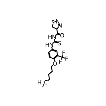 CCCCCOc1ccc(NC(=S)NC(=O)C2CSN=N2)cc1C(F)(F)F